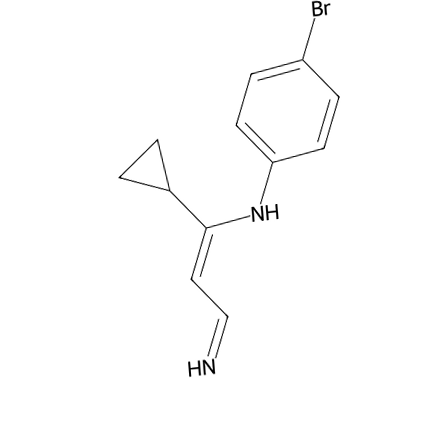 N=C/C=C(\Nc1ccc(Br)cc1)C1CC1